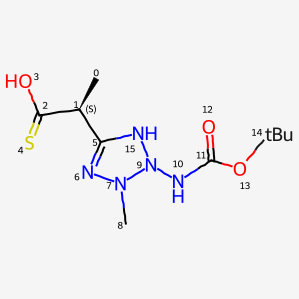 C[C@H](C(O)=S)C1=NN(C)N(NC(=O)OC(C)(C)C)N1